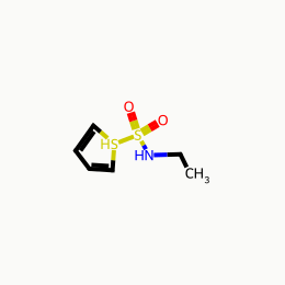 CCNS(=O)(=O)[SH]1C=CC=C1